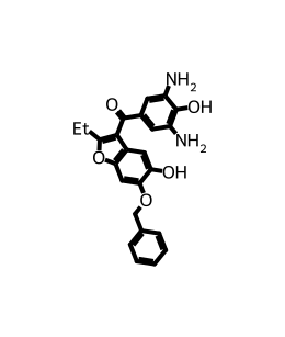 CCc1oc2cc(OCc3ccccc3)c(O)cc2c1C(=O)c1cc(N)c(O)c(N)c1